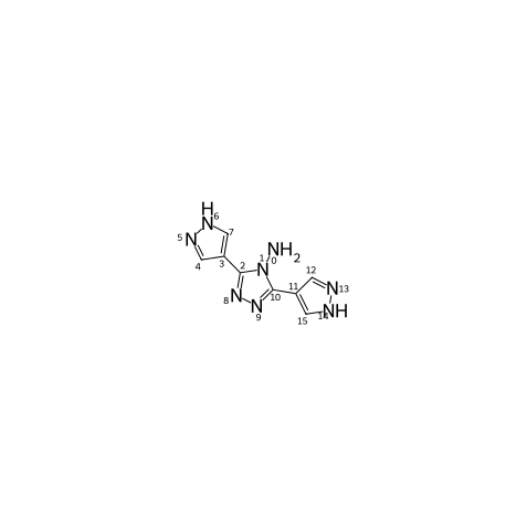 Nn1c(-c2cn[nH]c2)nnc1-c1cn[nH]c1